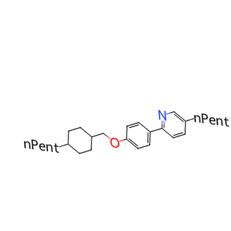 CCCCCc1ccc(-c2ccc(OCC3CCC(CCCCC)CC3)cc2)nc1